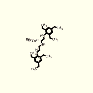 CCc1cc(CC)c(NCCNCCNc2c(CC)cc(CC)cc2CC)c(CC)c1.[Br-].[Br-].[Co+2]